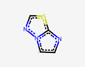 [c]1cnc2scnn12